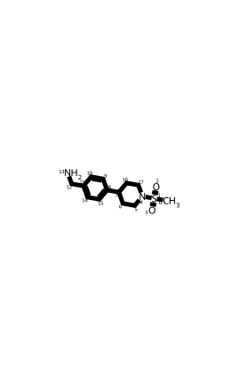 CS(=O)(=O)N1CCC(c2ccc(CN)cc2)CC1